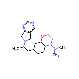 CC(CC1CCC2C(C1)OCCN2N(C)C)N1Cc2cncnc2C1